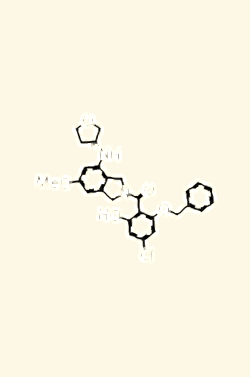 COc1cc2c(c(N[C@@H]3CCOC3)c1)CN(C(=O)c1c(O)cc(Cl)cc1OCc1ccccc1)C2